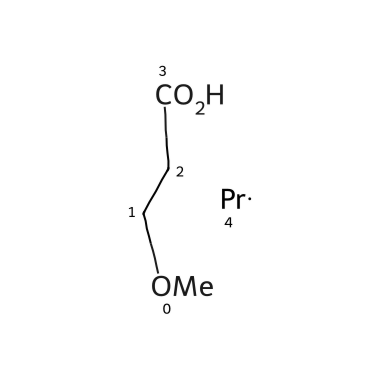 COCCC(=O)O.[Pr]